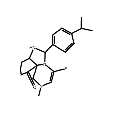 CC(C)c1ccc(C2NC3CCCC(=O)C34CN(C)C=C(F)N24)cc1